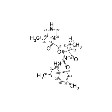 CCC[C@@H](NC(=O)N1C(=O)C(CC)(CC)C1OCC(=O)N1CCNCC1CC)c1ccc(C)cc1